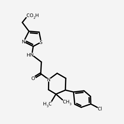 CC1(C)CN(C(=O)CNc2nc(CC(=O)O)cs2)CCC1c1ccc(Cl)cc1